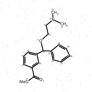 COC(=O)c1cccc(C(OCCN(C)C)c2ccccc2)c1